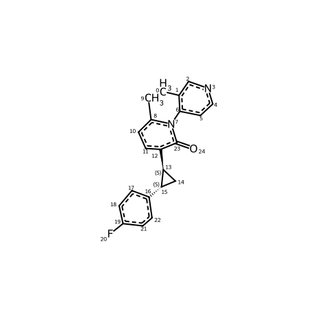 Cc1cnccc1-n1c(C)ccc([C@H]2C[C@@H]2c2ccc(F)cc2)c1=O